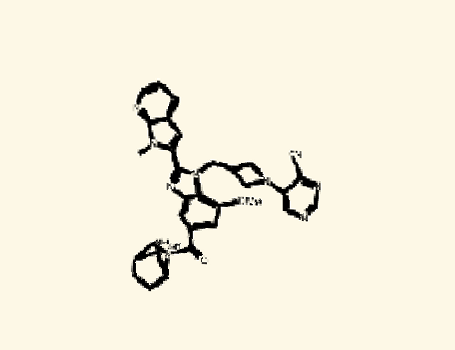 COc1cc(C(=O)N2CC3CCC2[C@@H]3N)cc2nc(-c3cc4cccnc4n3C)n(CC3CN(c4cncnc4C#N)C3)c12